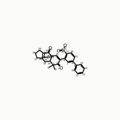 CC1(C)C(=O)C(c2cc(-c3ccccc3)ccc2[N+](=O)[O-])=CC23NC(=O)C4(CCCN4C2=O)CC13